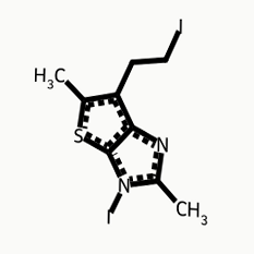 Cc1sc2c(nc(C)n2I)c1CCI